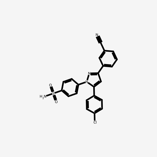 N#Cc1cccc(-c2cc(-c3ccc(Cl)cc3)n(-c3ccc(S(N)(=O)=O)cc3)n2)c1